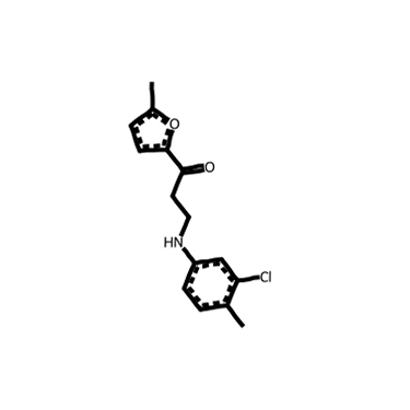 Cc1ccc(C(=O)CCNc2ccc(C)c(Cl)c2)o1